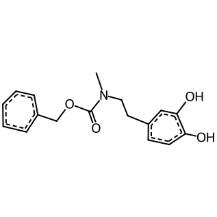 CN(CCc1ccc(O)c(O)c1)C(=O)OCc1ccccc1